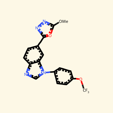 COc1nnc(-c2ccc3ncn(-c4ccc(OC(F)(F)F)cc4)c3c2)o1